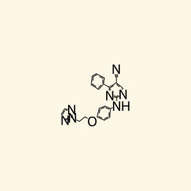 N#Cc1cnc(Nc2ccc(OCCn3nccn3)cc2)nc1-c1ccccc1